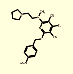 CCc1c(C#N)c(SCc2ccc(NC)cc2)nc(N(C)CCN2CCCC2)c1C#N